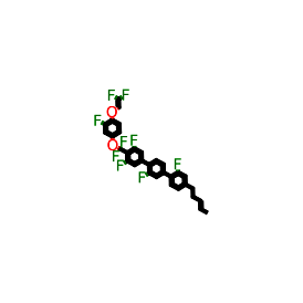 C/C=C/CCc1ccc(-c2ccc(-c3cc(F)c(C(F)(F)Oc4ccc(OC=C(F)F)c(F)c4)c(F)c3)c(F)c2)c(F)c1